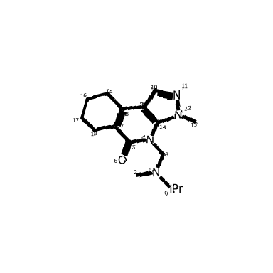 CC(C)N(C)Cn1c(=O)c2c(c3cnn(C)c31)CCCC2